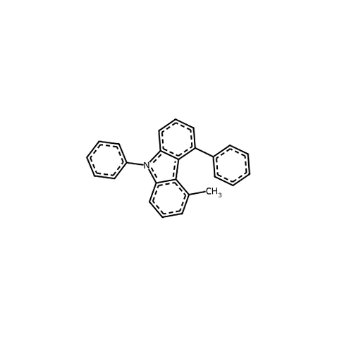 Cc1cccc2c1c1c(-c3ccccc3)cccc1n2-c1ccccc1